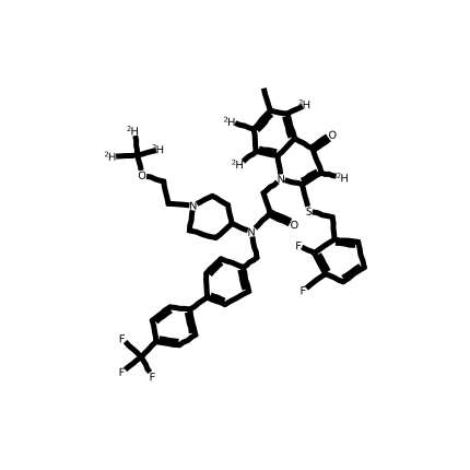 [2H]c1c(C)c([2H])c2c(=O)c([2H])c(SCc3cccc(F)c3F)n(CC(=O)N(Cc3ccc(-c4ccc(C(F)(F)F)cc4)cc3)C3CCN(CCOC([2H])([2H])[2H])CC3)c2c1[2H]